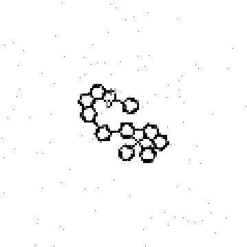 c1ccc(C2Nc3ccc4ccc5ccc(-c6cccc(-c7ccc8c(c7)C(c7ccccc7)(c7ccccc7)c7c-8ccc8ccccc78)c6)cc5c4c3O2)cc1